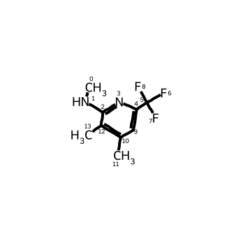 CNc1nc(C(F)(F)F)cc(C)c1C